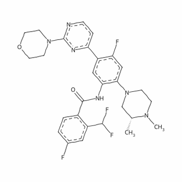 C[C@@H]1CN(c2cc(F)c(-c3ccnc(N4CCOCC4)n3)cc2NC(=O)c2ccc(F)cc2C(F)F)CCN1C